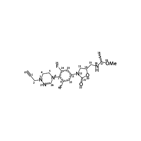 C#CCN1CCN(c2c(F)cc(N3CC(CNC(=S)OC)OC3=O)cc2F)C=N1